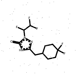 O=c1[nH]c(CC2CCC(F)(F)CC2)nn1C(F)C(F)F